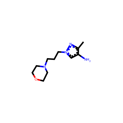 Cc1nn(CCCN2CCOCC2)cc1N